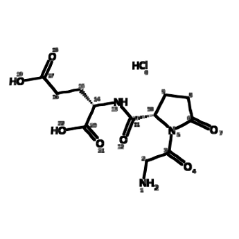 Cl.NCC(=O)N1C(=O)CC[C@H]1C(=O)N[C@@H](CCC(=O)O)C(=O)O